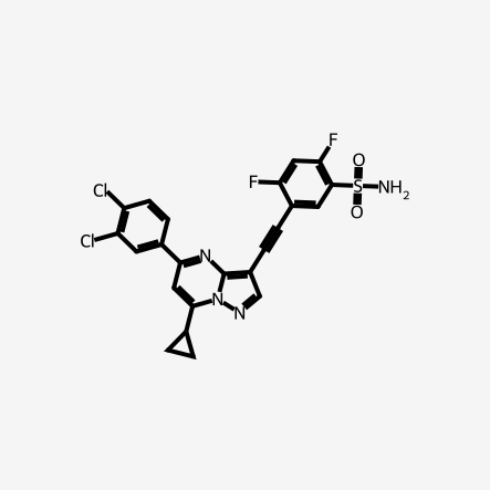 NS(=O)(=O)c1cc(C#Cc2cnn3c(C4CC4)cc(-c4ccc(Cl)c(Cl)c4)nc23)c(F)cc1F